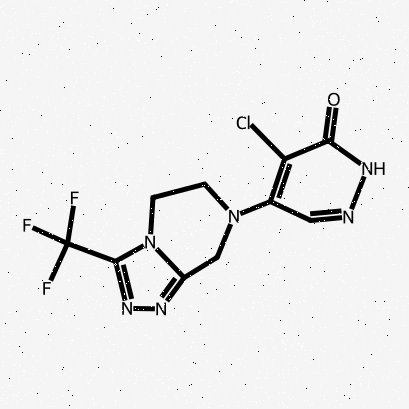 O=c1[nH]ncc(N2CCn3c(nnc3C(F)(F)F)C2)c1Cl